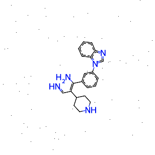 N=C/C(=C(\N)c1cccc(-n2cnc3ccccc32)c1)C1CCNCC1